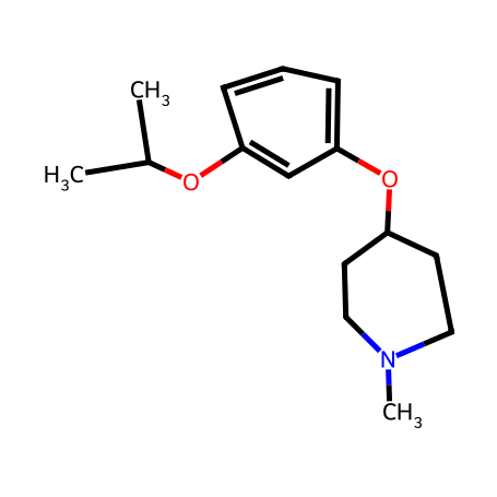 CC(C)Oc1cccc(OC2CCN(C)CC2)c1